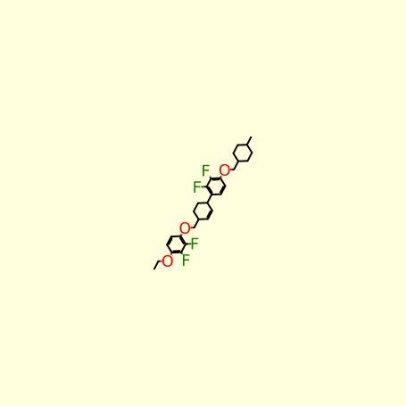 CCOc1ccc(OCC2C=CC(c3ccc(OCC4CCC(C)CC4)c(F)c3F)CC2)c(F)c1F